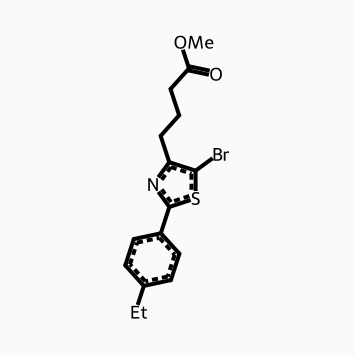 CCc1ccc(-c2nc(CCCC(=O)OC)c(Br)s2)cc1